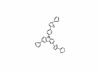 C1=CC(c2ccc(-c3ccc4c(c3)c3cc(-c5ccccc5)ccc3n4-c3ccc(-c4ccc(-c5ccccc5)s4)cc3)s2)=CCC1